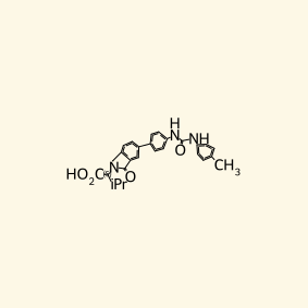 Cc1ccc(NC(=O)Nc2ccc(-c3ccc4c(c3)C(=O)N([C@H](C(=O)O)C(C)C)C4)cc2)cc1